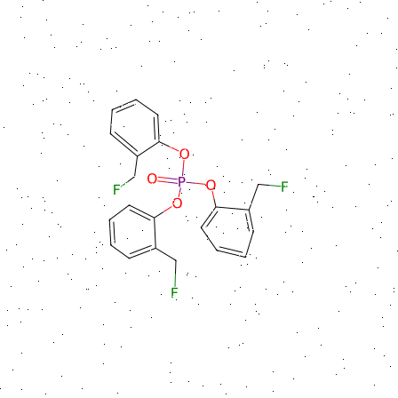 O=P(Oc1ccccc1CF)(Oc1ccccc1CF)Oc1ccccc1CF